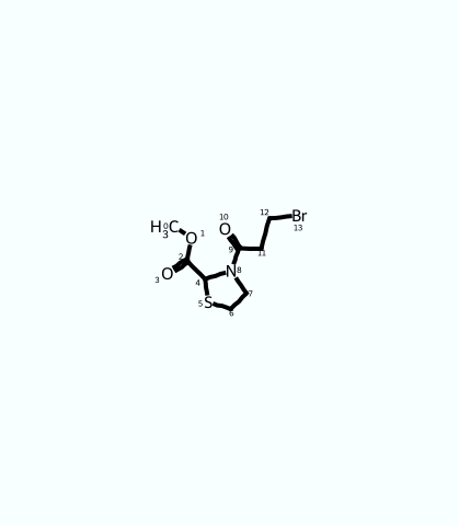 COC(=O)C1SCCN1C(=O)CCBr